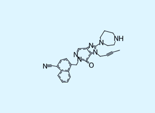 CC#CCn1c(N2CCCNCC2)nc2cnn(Cc3ccc(C#N)c4ccccc34)c(=O)c21